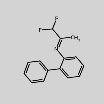 C/C(=N\c1ccccc1-c1ccccc1)C(F)F